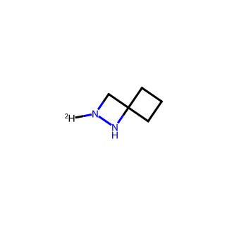 [2H]N1CC2(CCC2)N1